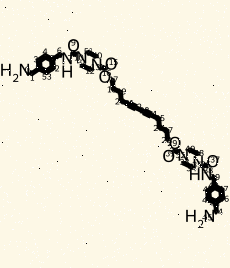 NCc1ccc(CNC(=O)N2CCN(C(=O)OCCCCC#CC#CCCCCOC(=O)N3CCN(C(=O)NCc4ccc(CN)cc4)CC3)CC2)cc1